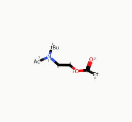 CCC(=O)OCCN(C(C)=O)C(C)(C)C